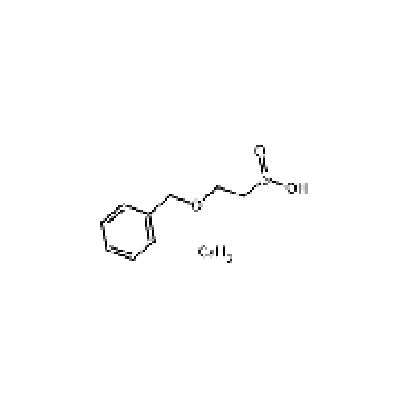 O=S(O)CCOCc1ccccc1.[CaH2]